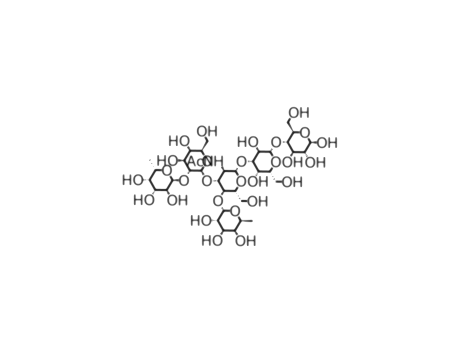 CC(=O)N[C@H]1[C@H](O[C@H]2[C@@H](O)[C@@H](CO)O[C@@H](O[C@H]3[C@H](O)[C@@H](O)[C@H](O)O[C@@H]3CO)[C@@H]2O)O[C@H](CO)[C@@H](O[C@@H]2O[C@@H](C)[C@@H](O)[C@@H](O)[C@@H]2O)[C@@H]1O[C@@H]1O[C@H](CO)[C@H](O)[C@H](O)[C@H]1O[C@@H]1O[C@@H](C)[C@@H](O)[C@@H](O)[C@@H]1O